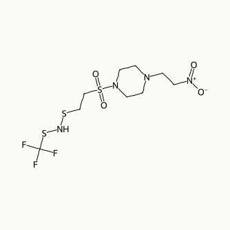 O=[N+]([O-])CCN1CCN(S(=O)(=O)CCSNSC(F)(F)F)CC1